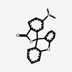 CN(C)c1ccc2c(c1)C1(OC2=O)c2ccccc2Oc2ccccc21